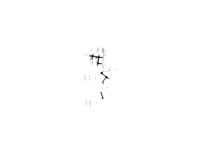 C=CCOCC(F)(C(F)(F)F)C(C)(CC)OC(F)(F)C(F)(C(F)(F)F)C(C)(F)CC